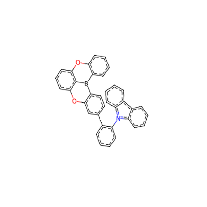 c1ccc2c(c1)Oc1cccc3c1B2c1ccc(-c2ccccc2-n2c4ccccc4c4ccccc42)cc1O3